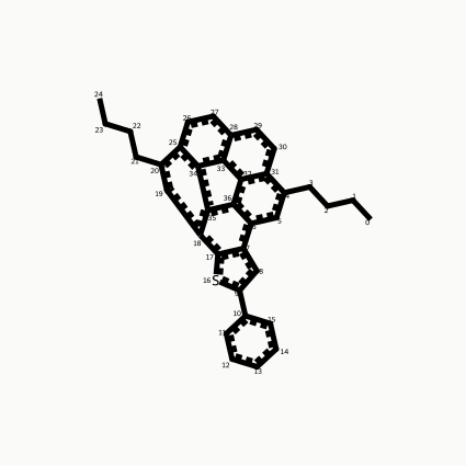 CCCCc1cc2c3cc(-c4ccccc4)sc3c3cc(CCCC)c4ccc5ccc1c1c5c4c3c21